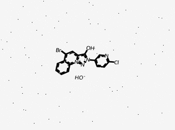 Oc1c2cc(Br)c3ccccc3[n+]2nn1-c1ccc(Cl)nc1.[OH-]